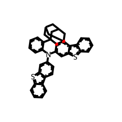 c1ccc(C23CC4CC(CC(C4)C2)C3)c(N(c2ccc3c(c2)sc2ccccc23)c2ccc3c(c2)sc2ccccc23)c1